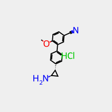 COc1ccc(C#N)cc1-c1ccc([C@@H]2C[C@H]2N)cc1.Cl